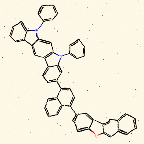 c1ccc(-n2c3ccccc3c3cc4c5ccc(-c6ccc(-c7ccc8oc9cc%10ccccc%10cc9c8c7)c7ccccc67)cc5n(-c5ccccc5)c4cc32)cc1